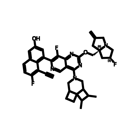 C#Cc1c(F)ccc2cc(O)cc(-c3ncc4c(N5CC6CCC67C(C)C(C)C7C5)nc(OC[C@]56CC(=C)CN5C[C@@H](F)C6)nc4c3F)c12